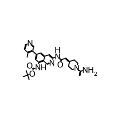 C=C(N)N1CCC(=CC(=O)Nc2cc3cc(-c4cnccc4C)cc(NC(=O)OC(C)(C)C)c3cn2)CC1